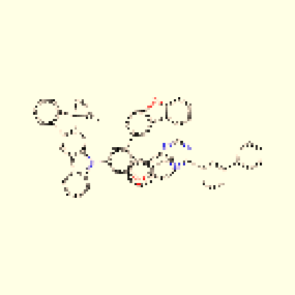 CC1(C)c2ccccc2-c2cc3c4ccccc4n(-c4cc(-c5ccc6oc7cccc(-c8nc(-c9ccccc9)nc(-c9cccc(-c%10ccccc%10)c9)n8)c7c6c5)c5c(c4)oc4ccccc45)c3cc21